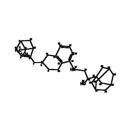 CC1(C)C2CC=C(CN3CCc4c(ncnc4NCC(O)C45CC6CC(CC(C6)C4)C5)C3)C1C2